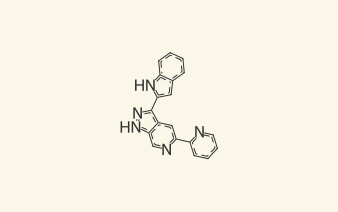 c1ccc(-c2cc3c(-c4cc5ccccc5[nH]4)n[nH]c3cn2)nc1